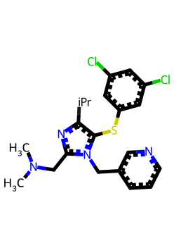 CC(C)c1nc(CN(C)C)n(Cc2cccnc2)c1Sc1cc(Cl)cc(Cl)c1